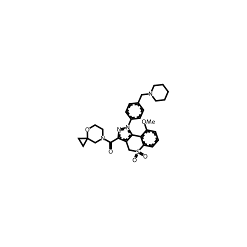 COc1cccc2c1-c1c(c(C(=O)N3CCOC4(CC4)C3)nn1-c1ccc(CN3CCCCC3)cc1)CS2(=O)=O